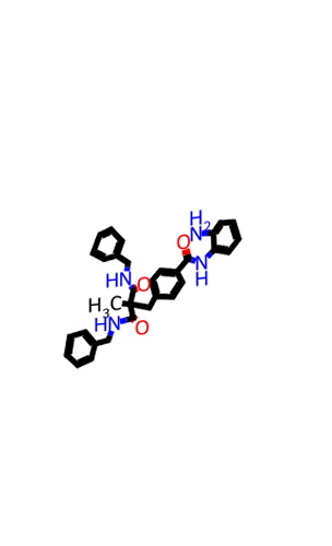 CC(Cc1ccc(C(=O)Nc2ccccc2N)cc1)(C(=O)NCc1ccccc1)C(=O)NCc1ccccc1